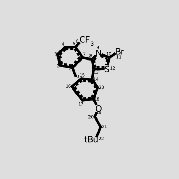 Cc1cccc(C(F)(F)F)c1-c1nc(Br)sc1-c1cccc(OCCC(C)(C)C)c1